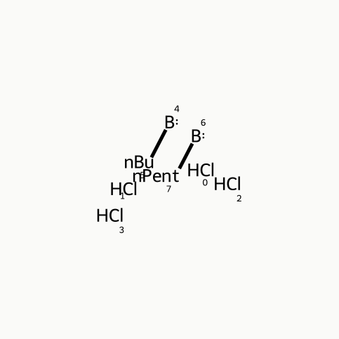 Cl.Cl.Cl.Cl.[B]CCCC.[B]CCCCC